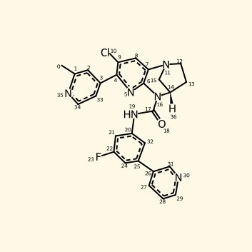 Cc1cc(-c2nc3c(cc2Cl)N2CC[C@@H](C2)N3C(=O)Nc2cc(F)cc(-c3cccnc3)c2)ccn1